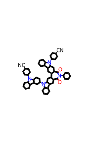 N#Cc1ccc(-n2c3ccccc3c3cc(-n4c5ccccc5c5cc6c(=O)n(-c7ccccc7)c(=O)c7cc8c(cc7c6cc54)c4ccccc4n8-c4ccc(C#N)cc4)ccc32)cc1